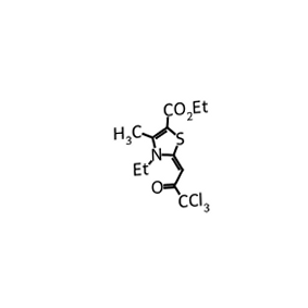 CCOC(=O)C1=C(C)N(CC)C(=CC(=O)C(Cl)(Cl)Cl)S1